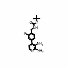 CC(C)(C)OC(=O)NCc1ccc(-c2ccnc(N)c2N)cc1F